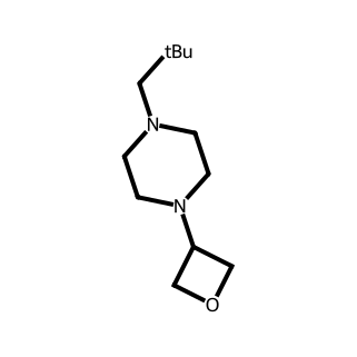 CC(C)(C)CN1CCN(C2COC2)CC1